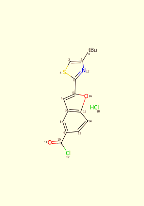 CC(C)(C)c1csc(-c2cc3cc(C(=O)Cl)ccc3o2)n1.Cl